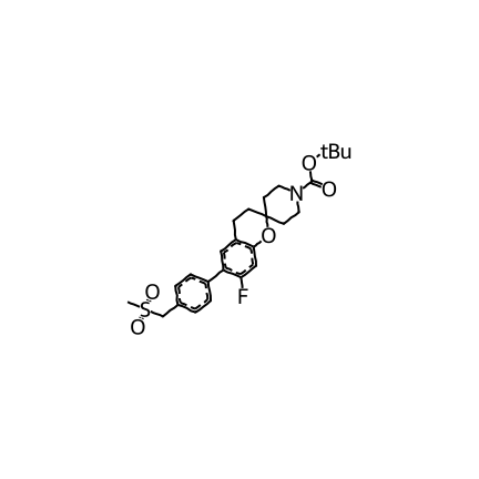 CC(C)(C)OC(=O)N1CCC2(CCc3cc(-c4ccc(CS(C)(=O)=O)cc4)c(F)cc3O2)CC1